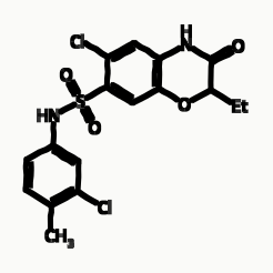 CCC1Oc2cc(S(=O)(=O)Nc3ccc(C)c(Cl)c3)c(Cl)cc2NC1=O